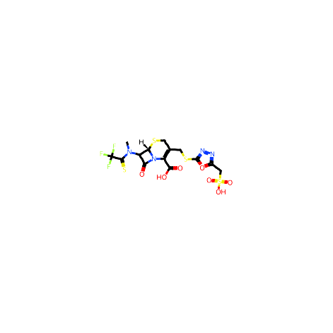 CN(C(=S)C(F)(F)F)C1C(=O)N2C(C(=O)O)=C(CSc3nnc(CS(=O)(=O)O)o3)CS[C@@H]12